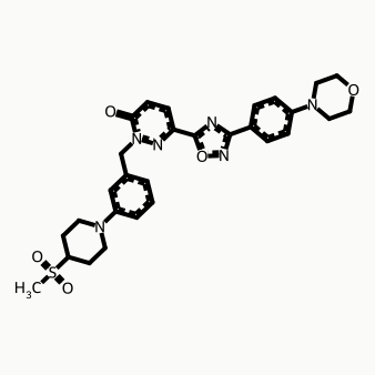 CS(=O)(=O)C1CCN(c2cccc(Cn3nc(-c4nc(-c5ccc(N6CCOCC6)cc5)no4)ccc3=O)c2)CC1